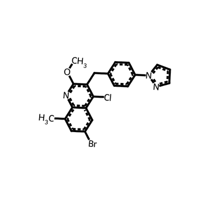 COc1nc2c(C)cc(Br)cc2c(Cl)c1Cc1ccc(-n2cccn2)cc1